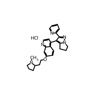 CN1CCCC1CCOc1ccc2c(-c3c(-c4ccccn4)nn4c3CCC4)ccnc2c1.Cl